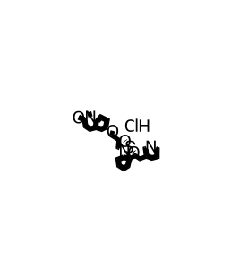 Cl.Cn1c(=O)ccc2cc(OCCCN(c3ccccc3CCc3cccnc3)S(C)(=O)=O)ccc21